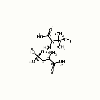 CC(C)(C)C(N)C(=O)O.NC(CS(=O)(=O)O)C(=O)O